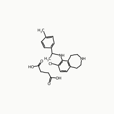 Cc1ccc(C(C)Nc2c(Cl)ccc3c2CCNCC3)cc1.O=C(O)CCC(=O)O